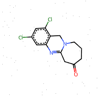 O=C1CCCN2Cc3c(Cl)cc(Cl)cc3N=C2C1